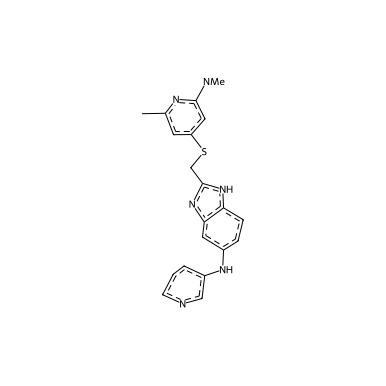 CNc1cc(SCc2nc3cc(Nc4cccnc4)ccc3[nH]2)cc(C)n1